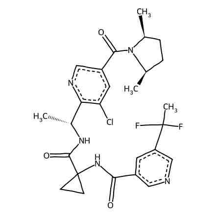 C[C@@H]1CC[C@H](C)N1C(=O)c1cnc([C@@H](C)NC(=O)C2(NC(=O)c3cncc(C(C)(F)F)c3)CC2)c(Cl)c1